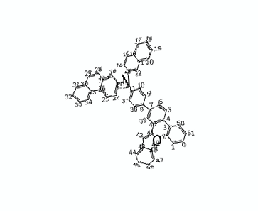 c1ccc(-c2ccc(-c3ccc(N(c4ccc5ccccc5c4)c4ccc5c(ccc6ccccc65)c4)cc3)cc2-c2cc3ccccc3o2)cc1